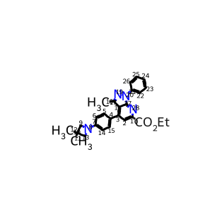 CCOC(=O)c1cc(-c2ccc(N3CC(C)(C)C3)cc2)c2c(C)nn(-c3ccccc3)c2n1